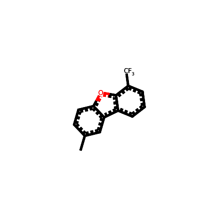 Cc1ccc2oc3c(C(F)(F)F)cccc3c2c1